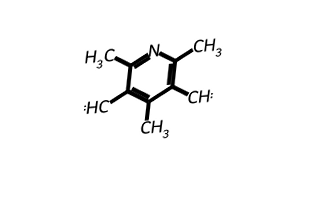 [CH]c1c(C)nc(C)c([CH])c1C